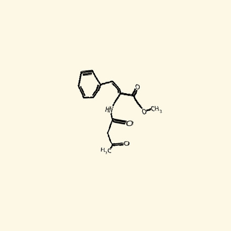 COC(=O)C(=Cc1ccccc1)NC(=O)CC(C)=O